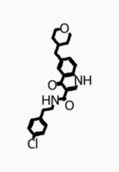 O=C(NCCc1ccc(Cl)cc1)c1c[nH]c2ccc(CC3CCOCC3)cc2c1=O